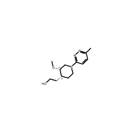 CO[C@@H]1CN(c2ccc(C)nn2)CC[C@@H]1CCO